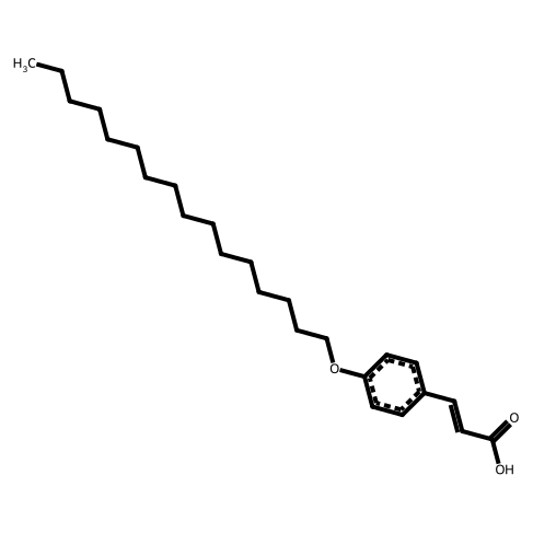 CCCCCCCCCCCCCCCCOc1ccc(C=CC(=O)O)cc1